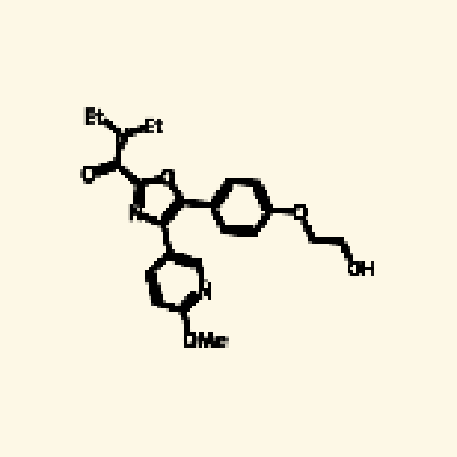 CCN(CC)C(=O)c1nc(-c2ccc(OC)nc2)c(-c2ccc(OCCO)cc2)o1